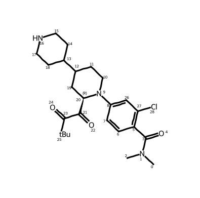 CN(C)C(=O)c1ccc(N2CCC(C3CCNCC3)C[C@@H]2C(=O)C(=O)C(C)(C)C)cc1Cl